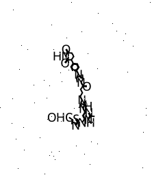 Cc1nc(Nc2ncc(C=O)s2)cc(N2CC3[C@@H]2CN3CCCC(=O)N2CC3CC2CN3c2ccc(C3CCC(=O)NC3=O)cc2)n1